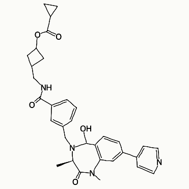 C[C@@H]1C(=O)N(C)c2cc(-c3ccncc3)ccc2C(O)N1Cc1cccc(C(=O)NCC2CC(OC(=O)C3CC3)C2)c1